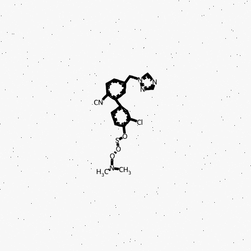 [C-]#[N+]c1ccc(Cn2cncn2)cc1-c1ccc(OSOON(C)C)c(Cl)c1